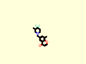 Cc1cc(CN2CCC(F)(F)C(C)C2)cc2c(=O)ccoc12